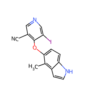 Cc1c(Oc2c(I)cncc2C#N)ccc2[nH]ccc12